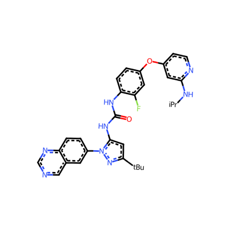 CC(C)Nc1cc(Oc2ccc(NC(=O)Nc3cc(C(C)(C)C)nn3-c3ccc4ncncc4c3)c(F)c2)ccn1